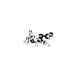 COc1nc(NC2CC(C)(NC(C)=O)C2)nn2ccc(-c3cnc4nccn4c3)c12